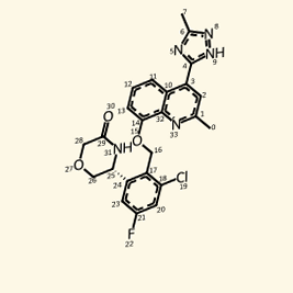 Cc1cc(-c2nc(C)n[nH]2)c2cccc(OCc3c(Cl)cc(F)cc3[C@@H]3COCC(=O)N3)c2n1